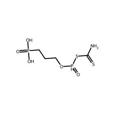 NC(=S)S[PH](=O)OCCCP(=O)(O)O